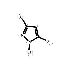 Bc1cc(C(F)(F)F)nn1C